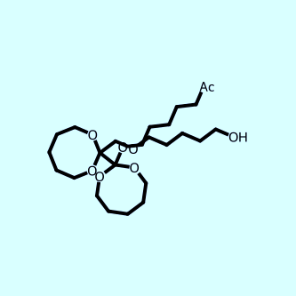 CC(=O)CCCCCOC1(C2(COCCCCCO)OCCCCCO2)OCCCCCO1